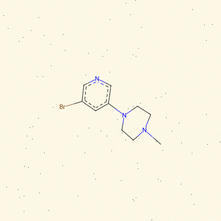 CN1CCN(c2cncc(Br)c2)CC1